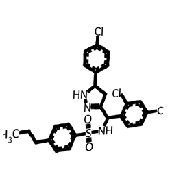 CCCc1ccc(S(=O)(=O)NC(C2=NNC(c3ccc(Cl)cc3)C2)c2ccc(Cl)cc2Cl)cc1